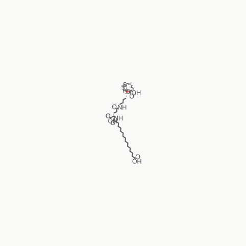 O=C(O)CCCCCCCCCCCCCCC(=O)N[C@@H](CCC(=O)NCCCC[C@@H]1NC2SSCSSC(O)(SS2)C1=O)C(=O)O